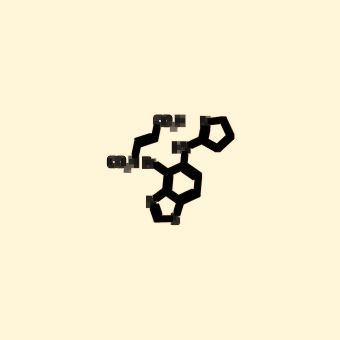 Brc1c(NC2=NCCC2)ccc2scnc12.O=C(O)C=CC(=O)O